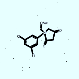 COC[N+]1(c2cc(Cl)cc(Cl)c2)CC(=O)CC1=O